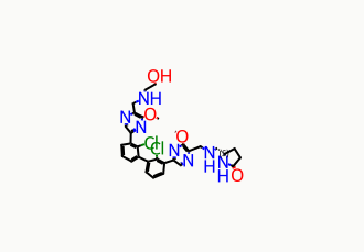 COc1nc(-c2cccc(-c3cccc(-c4cnc(CNC[C@@H]5CCC(=O)N5)c(OC)n4)c3Cl)c2Cl)cnc1CNCCO